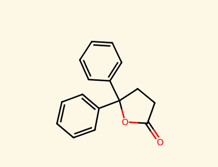 O=C1CCC(c2ccccc2)(c2ccccc2)O1